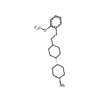 CCC[C@H]1CC[C@H](C2CCC(CCc3ccccc3OC(F)(F)F)CC2)CC1